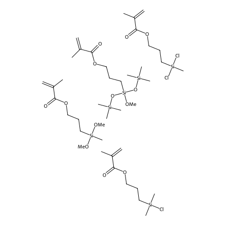 C=C(C)C(=O)OCCC[Si](C)(C)Cl.C=C(C)C(=O)OCCC[Si](C)(Cl)Cl.C=C(C)C(=O)OCCC[Si](C)(OC)OC.C=C(C)C(=O)OCCC[Si](OC)(O[Si](C)(C)C)O[Si](C)(C)C